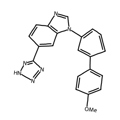 COc1ccc(-c2cccc(-n3cnc4ccc(-c5nn[nH]n5)cc43)c2)cc1